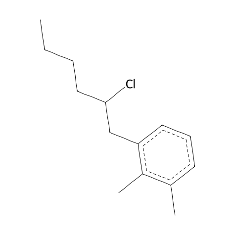 CCCCC(Cl)Cc1cccc(C)c1C